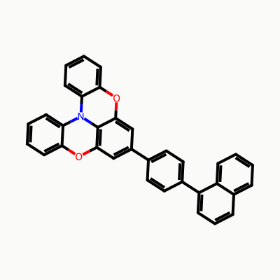 c1ccc2c(c1)Oc1cc(-c3ccc(-c4cccc5ccccc45)cc3)cc3c1N2c1ccccc1O3